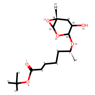 C[C@H](CCCCC(=O)OC(C)(C)C)OC1OC2O[C@@H]2CC1O